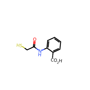 O=C(CS)Nc1ccccc1C(=O)O